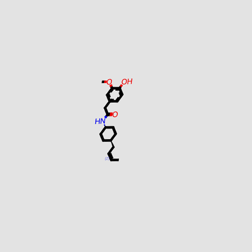 C/C=C\C[C@H]1CC[C@H](NC(=O)Cc2ccc(O)c(OC)c2)CC1